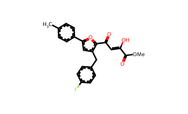 COC(=O)C(O)=CC(=O)c1oc(-c2ccc(C)cc2)cc1Cc1ccc(F)cc1